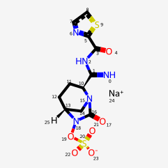 N=C(NC(=O)c1nccs1)[C@@H]1CC[C@@H]2CN1C(=O)N2OS(=O)(=O)[O-].[Na+]